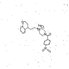 Cl.O=C(c1ccc([N+](=O)[O-])cc1)N1CCN(CCC2CCOc3ccccc32)CC1